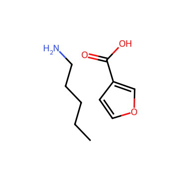 CCCCCN.O=C(O)c1ccoc1